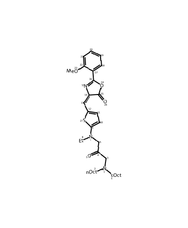 CCCCCCCCN(CCCCCCCC)CC(=O)CN(CC)c1ccc(/C=C2/N=C(c3ccccc3OC)OC2=O)s1